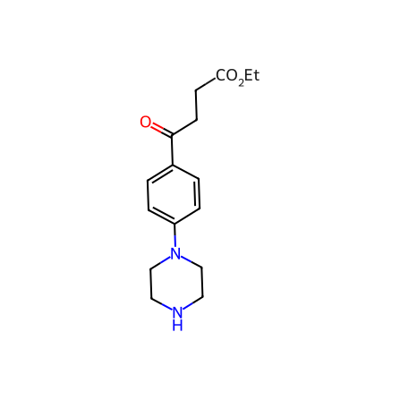 CCOC(=O)CCC(=O)c1ccc(N2CCNCC2)cc1